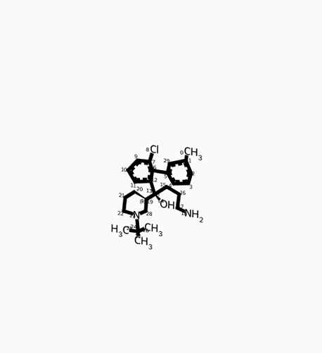 Cc1cccc(-c2c(Cl)cccc2[C@](O)(CCCN)[C@@H]2CCCN(C(C)(C)C)C2)c1